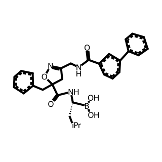 CC(C)C[C@H](NC(=O)C1(Cc2ccccc2)CC(CNC(=O)c2cccc(-c3ccccc3)c2)=NO1)B(O)O